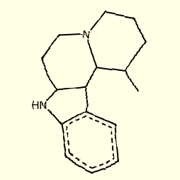 CC1CCCN2CCC3Nc4ccccc4C3C12